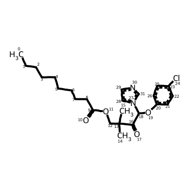 CCCCCCCCCC(=O)OCC(C)(C)C(=O)C(Oc1ccc(Cl)cc1)n1ccnc1